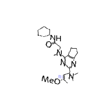 CO/C(C)=C/C(c1nc2c(c(N(C)CC(=O)NC3CCCCC3)n1)CCC2)N(C)C